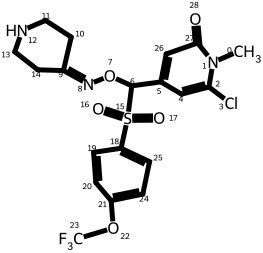 Cn1c(Cl)cc(C(ON=C2CCNCC2)S(=O)(=O)c2ccc(OC(F)(F)F)cc2)cc1=O